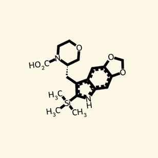 C[Si](C)(C)c1[nH]c2cc3c(cc2c1C[C@H]1COCCN1C(=O)O)OCO3